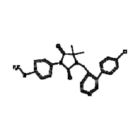 CC1(C)C(=O)N(c2ccc(SC(F)(F)F)cc2)C(=O)N1Cc1ccncc1-c1ccc(Cl)cc1